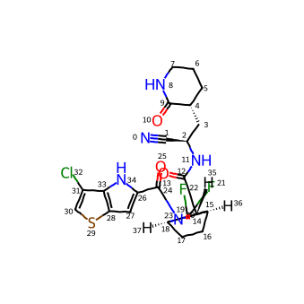 N#C[C@@H](C[C@H]1CCCNC1=O)NC(=O)[C@@H]1[C@H]2CC[C@H](CC2(F)F)N1C(=O)c1cc2scc(Cl)c2[nH]1